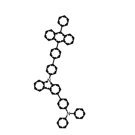 c1ccc(-c2c3ccccc3c(-c3ccc(-c4ccc(-n5c6ccccc6c6cc(-c7ccc(N(c8ccccc8)c8ccccc8)cc7)ccc65)cc4)cc3)c3ccccc23)cc1